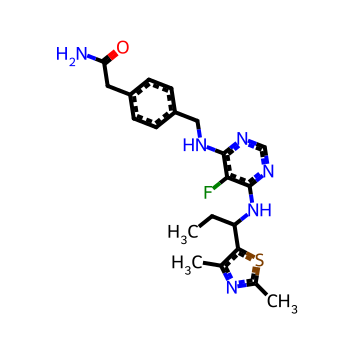 CCC(Nc1ncnc(NCc2ccc(CC(N)=O)cc2)c1F)c1sc(C)nc1C